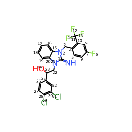 N=c1n(Cc2ccc(F)cc2C(F)(F)F)c2ccccc2n1CC(O)c1ccc(Cl)c(Cl)c1